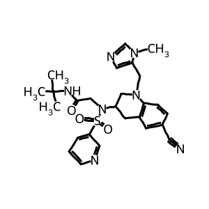 Cn1cncc1CN1CC(N(CC(=O)NC(C)(C)C)S(=O)(=O)c2cccnc2)Cc2cc(C#N)ccc21